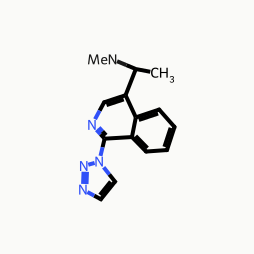 CNC(C)c1cnc(-n2ccnn2)c2ccccc12